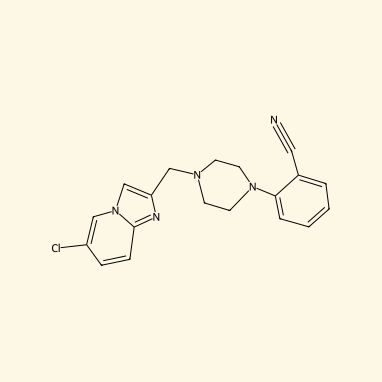 N#Cc1ccccc1N1CCN(Cc2cn3cc(Cl)ccc3n2)CC1